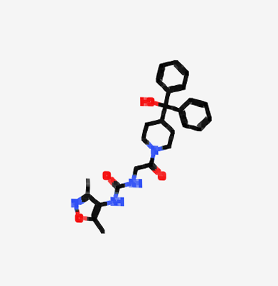 Cc1noc(C)c1NC(=O)NCC(=O)N1CCC(C(O)(c2ccccc2)c2ccccc2)CC1